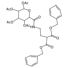 CC(=O)OC1OC(C(=O)NCCC(C(=O)OCc2ccccc2)C(=O)OCc2ccccc2)C(OC(C)=O)C(OC(C)=O)C1OC(C)=O